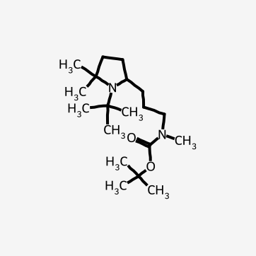 CN(CCCC1CCC(C)(C)N1C(C)(C)C)C(=O)OC(C)(C)C